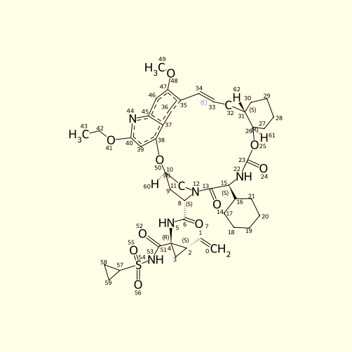 C=C[C@@H]1C[C@]1(NC(=O)[C@@H]1C[C@@H]2CN1C(=O)[C@H](C1CCCCC1)NC(=O)O[C@@H]1CCCC[C@H]1C/C=C/c1cc3c(cc(OCC)nc3cc1OC)O2)C(=O)NS(=O)(=O)C1CC1